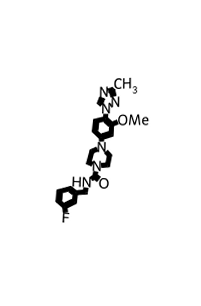 COc1cc(N2CCN(C(=O)NCc3cccc(F)c3)CC2)ccc1-n1cnc(C)n1